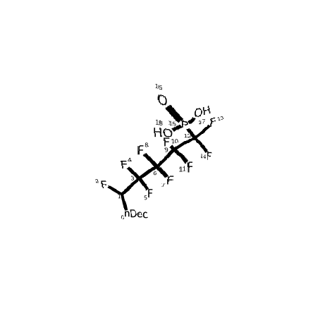 CCCCCCCCCCC(F)C(F)(F)C(F)(F)C(F)(F)C(F)(F)P(=O)(O)O